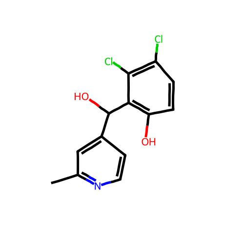 Cc1cc(C(O)c2c(O)ccc(Cl)c2Cl)ccn1